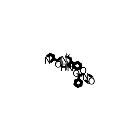 C[C@H](Cc1c[nH]c2c(O[C@H](C(=O)N3CCOCC3)c3ccccc3)cccc12)NC[C@H](O)c1cccnc1